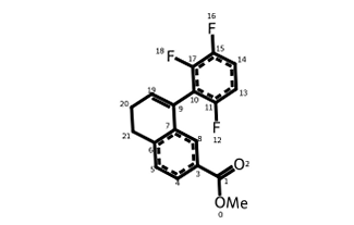 COC(=O)c1ccc2c(c1)C(c1c(F)ccc(F)c1F)=CCC2